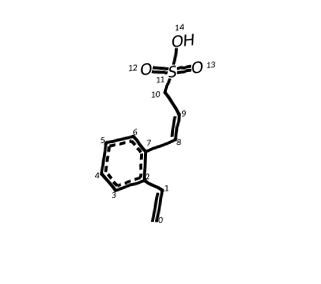 C=Cc1ccccc1/C=C\CS(=O)(=O)O